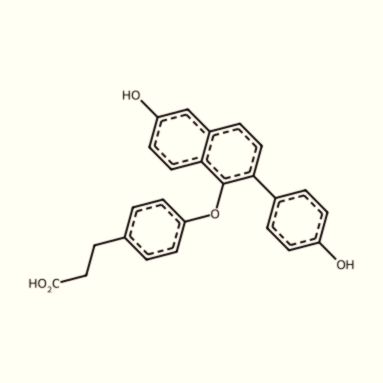 O=C(O)CCc1ccc(Oc2c(-c3ccc(O)cc3)ccc3cc(O)ccc23)cc1